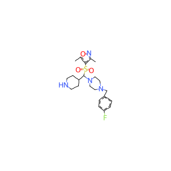 Cc1noc(C)c1S(=O)(=O)C(C1CCNCC1)N1CCN(Cc2ccc(F)cc2)CC1